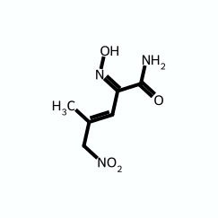 CC(=CC(=NO)C(N)=O)C[N+](=O)[O-]